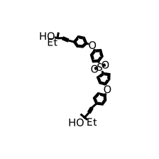 CCC(C)(O)C#Cc1ccc(Oc2ccc(S(=O)(=O)c3ccc(Oc4ccc(C#CC(C)(O)CC)cc4)cc3)cc2)cc1